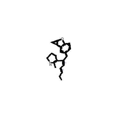 CC/C=C/C=C(/Cc1ccc2c(c1)C1CC1O2)C1=C(C)NCCC1